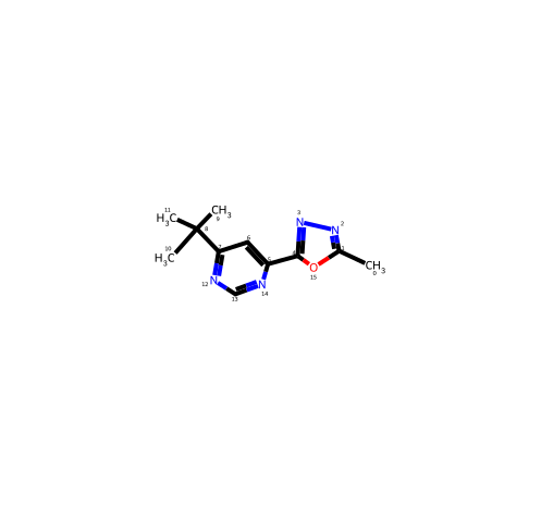 Cc1nnc(-c2cc(C(C)(C)C)ncn2)o1